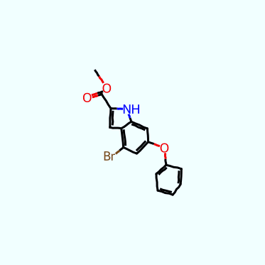 COC(=O)c1cc2c(Br)cc(Oc3ccccc3)cc2[nH]1